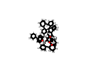 c1ccc(-c2cccc(N(c3ccc4c(c3)C3(c5ccccc5-c5ccccc5-4)c4ccccc4-c4c3ccc3c4oc4ccccc43)c3cccc4c3N(c3ccccc3)c3ccccc3-c3ccccc3-4)c2)cc1